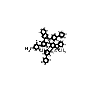 Cc1cc(C)c(-c2cc3c4c(c2)N(c2ccc(-c5ccccc5)cc2C)c2cc5c(cc2B4N(c2ccc(-c4ccccc4)cc2)c2cc4ccccc4cc2-3)-c2ccccc2C5(C)C)c(C)c1